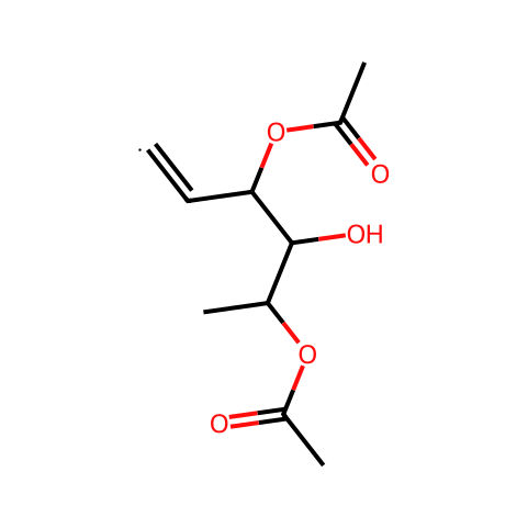 [CH]=CC(OC(C)=O)C(O)C(C)OC(C)=O